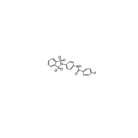 O=C(Nc1ccc(N2S(=O)(=O)c3ccccc3S2(=O)=O)cc1)c1ccc(F)cc1